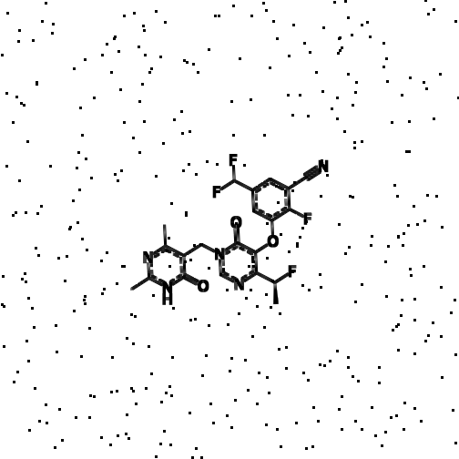 Cc1nc(C)c(Cn2cnc([C@H](C)F)c(Oc3cc(C(F)F)cc(C#N)c3F)c2=O)c(=O)[nH]1